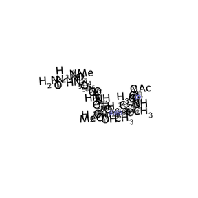 CNC(CCCNC(N)=O)C(=O)Nc1ccc(COC(=O)NNC(=O)C[C@@H]2CC(C)(OC)[C@H](O)C(/C=C/C(C)=C/C[C@@H]3OC(C)C(NC(=O)/C=C\C(C)OC(C)=O)CC3C)O2)cc1